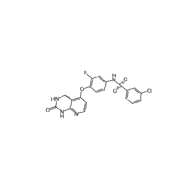 O=C1NCc2c(Oc3ccc(NS(=O)(=O)c4cccc(Cl)c4)cc3F)ccnc2N1